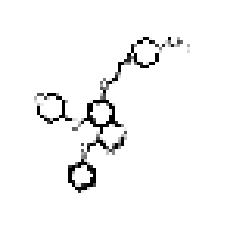 CN1CCN(CCOc2cc(OC3CCOCC3)c3c(Oc4ccccc4)ncnc3c2)CC1